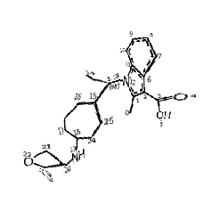 Cc1c(C(=O)O)c2ccccc2n1[C@H](C)C1CCC(NC2COC2)CC1